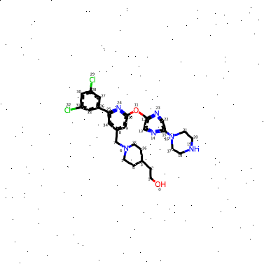 OCCC1CCN(Cc2cc(Oc3cnc(N4CCNCC4)cn3)nc(-c3cc(Cl)cc(Cl)c3)c2)CC1